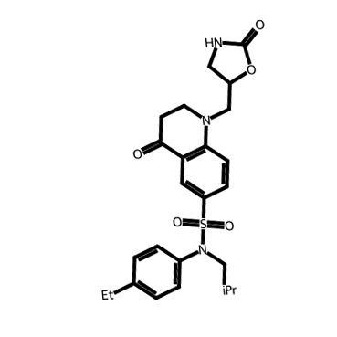 CCc1ccc(N(CC(C)C)S(=O)(=O)c2ccc3c(c2)C(=O)CCN3CC2CNC(=O)O2)cc1